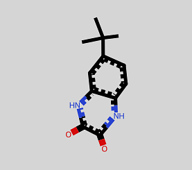 CC(C)(C)c1ccc2[nH]c(=O)c(=O)[nH]c2c1